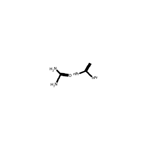 C=C(CCC)CCC.NC(N)=O